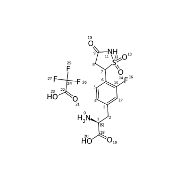 N[C@@H](Cc1ccc(C2CC(=O)NS2(=O)=O)c(F)c1)C(=O)O.O=C(O)C(F)(F)F